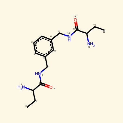 CCC(N)C(=O)NCc1cccc(CNC(=O)C(N)CC)c1